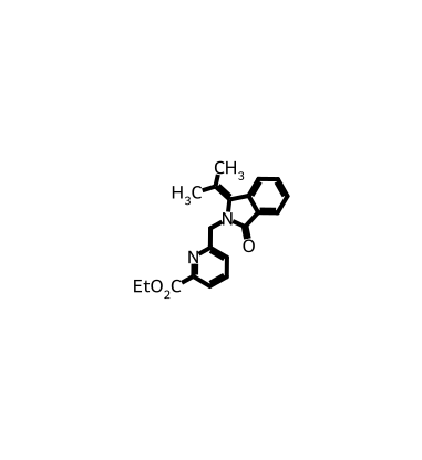 CCOC(=O)c1cccc(CN2C(=O)c3ccccc3C2=C(C)C)n1